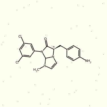 CN1C=CN2C1N(c1cc(Cl)cc(Cl)c1)C(=O)[C@H]2Cc1ccc(N)cc1